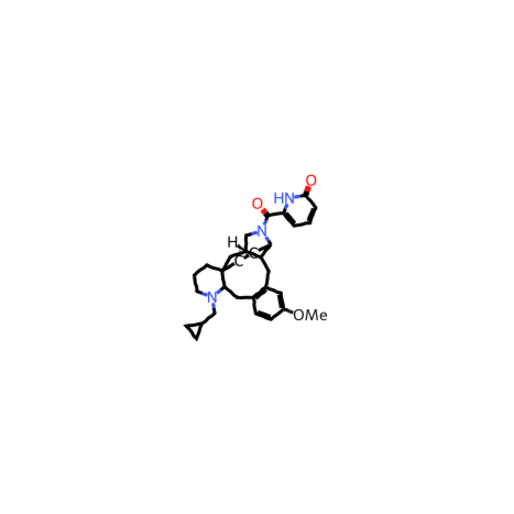 COc1ccc2c(c1)CC1C3CCC4(CCCN(CC5CC5)C4C2)C[C@@H]1CN3C(=O)c1cccc(=O)[nH]1